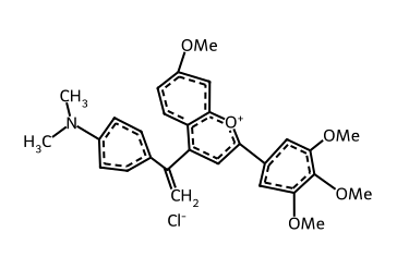 C=C(c1ccc(N(C)C)cc1)c1cc(-c2cc(OC)c(OC)c(OC)c2)[o+]c2cc(OC)ccc12.[Cl-]